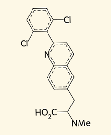 CNC(Cc1ccc2nc(-c3c(Cl)cccc3Cl)ccc2c1)C(=O)O